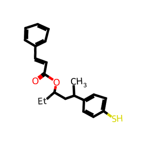 CCC(CC(C)c1ccc(S)cc1)OC(=O)C=Cc1ccccc1